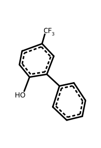 Oc1ccc(C(F)(F)F)cc1-c1ccccc1